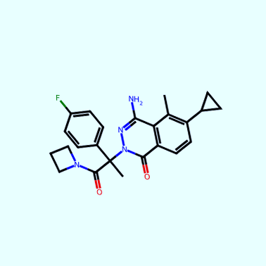 Cc1c(C2CC2)ccc2c(=O)n(C(C)(C(=O)N3CCC3)c3ccc(F)cc3)nc(N)c12